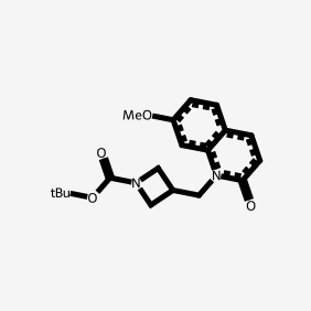 COc1ccc2ccc(=O)n(CC3CN(C(=O)OC(C)(C)C)C3)c2c1